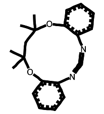 CC1(C)CC(C)(C)Oc2ccccc2N=C=Nc2ccccc2O1